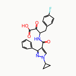 O=C(O)C(=O)C(Cc1ccc(F)cc1)NC(=O)c1cn(C2CC2)nc1-c1ccccc1